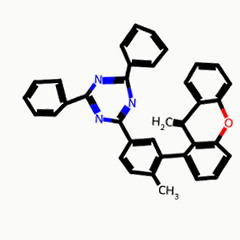 C=C1c2ccccc2Oc2cccc(-c3cc(-c4nc(-c5ccccc5)nc(-c5ccccc5)n4)ccc3C)c21